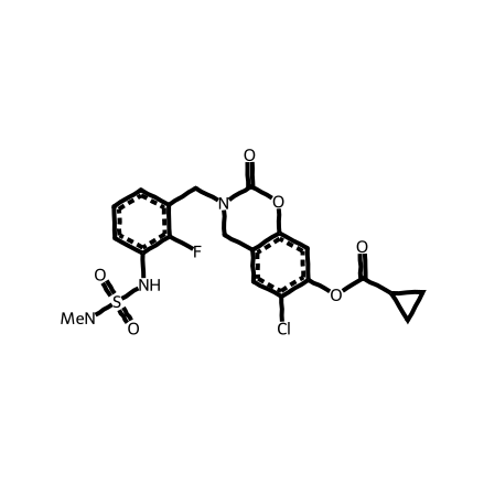 CNS(=O)(=O)Nc1cccc(CN2Cc3cc(Cl)c(OC(=O)C4CC4)cc3OC2=O)c1F